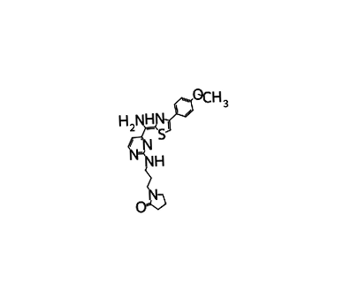 COc1ccc(C2=CS/C(=C(/N)c3ccnc(NCCCN4CCCC4=O)n3)N2)cc1